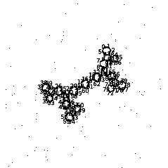 c1ccc2c(c1)-c1ccc(N(c3ccc(-c4ccc(-c5ccc(N(c6ccc7c(c6)C6(CCCC6)c6ccccc6-7)c6ccc7c(c6)C6(CCCC6)c6ccccc6-7)cc5)cc4)cc3)c3ccc4c(c3)C3(CCCC3)c3ccccc3-4)cc1C21CCCC1